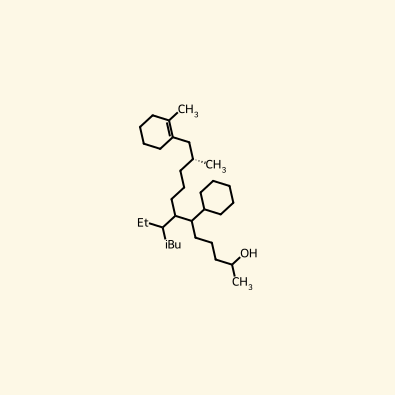 CCC(C)C(CC)C(CCC[C@@H](C)CC1=C(C)CCCC1)C(CCCC(C)O)C1CCCCC1